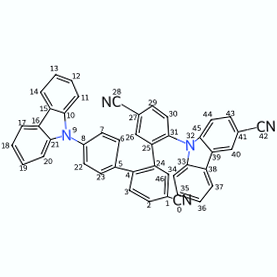 N#Cc1ccc(-c2ccc(-n3c4ccccc4c4ccccc43)cc2)c(-c2cc(C#N)ccc2-n2c3ccccc3c3cc(C#N)ccc32)c1